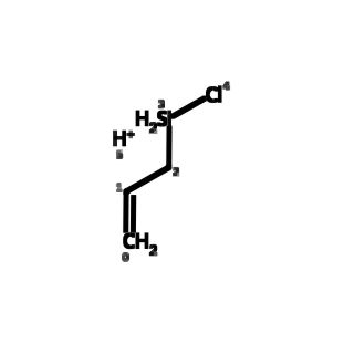 C=CC[SiH2]Cl.[H+]